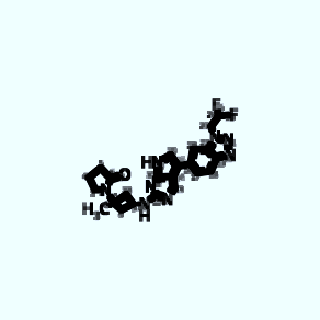 C[C@]1(N2CCCC2=O)C[C@H](Nc2ncc3c(-c4ccc5nnn(CC(F)F)c5c4)c[nH]c3n2)C1